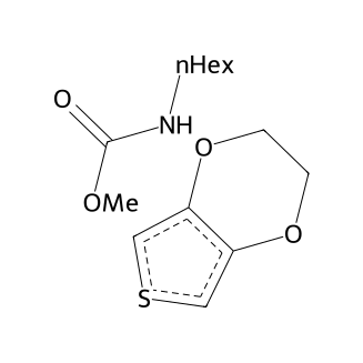 CCCCCCNC(=O)OC.c1scc2c1OCCO2